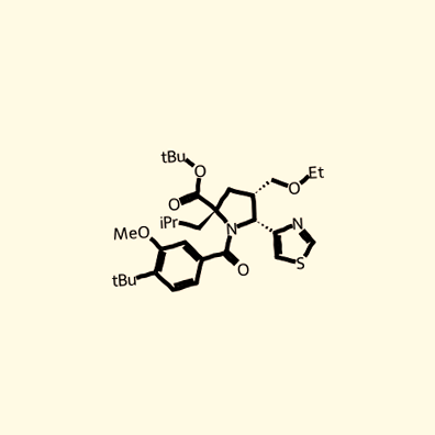 CCOC[C@H]1C[C@@](CC(C)C)(C(=O)OC(C)(C)C)N(C(=O)c2ccc(C(C)(C)C)c(OC)c2)[C@H]1c1cscn1